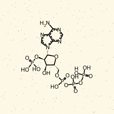 Nc1ncnc2c1ncn2[C@@H]1O[C@H](COP(=O)(O)OP(=O)(O)OP(=O)(O)O)[C@@H](O)[C@H]1OP(=O)(O)O